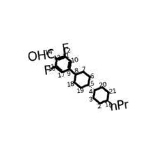 CCC[C@H]1CC[C@H](C2CCC(c3cc(F)c(C=O)c(F)c3)CC2)CC1